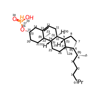 CC(C)CCC[C@@H](C)[C@H]1CC[C@H]2[C@@H]3CC=C4C[C@@H](O[PH](=O)O)CC[C@]4(C)[C@H]3CC[C@]12C